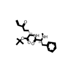 C=CC(=O)CC[C@H](NC(=O)[C@H](Cc1ccccc1)NC)C(=O)OC(C)(C)C